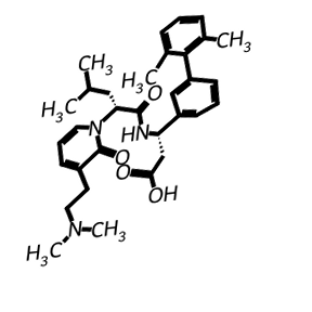 Cc1cccc(C)c1-c1cccc([C@H](CC(=O)O)NC(=O)[C@@H](CC(C)C)n2cccc(CCN(C)C)c2=O)c1